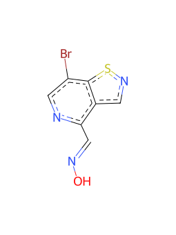 ON=Cc1ncc(Br)c2sncc12